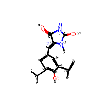 CC(C)c1cc(/C=C2/C(=O)NC(=O)N2C)cc(C(C)C)c1O